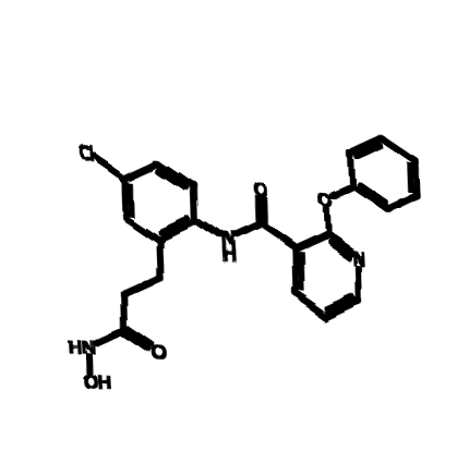 O=C(CCc1cc(Cl)ccc1NC(=O)c1cccnc1Oc1ccccc1)NO